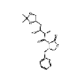 C[C@@H](C(=O)N1C(=O)OC[C@H]1Cc1ccccc1)[C@@H](O)CC1COC(C)(C)O1